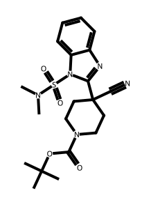 CN(C)S(=O)(=O)n1c(C2(C#N)CCN(C(=O)OC(C)(C)C)CC2)nc2ccccc21